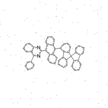 c1ccc(-c2nc(-c3c4ccccc4c(-c4cccc5c4-c4ccccc4C54c5ccccc5-c5ccccc54)c4ccccc34)nc3ccccc23)cc1